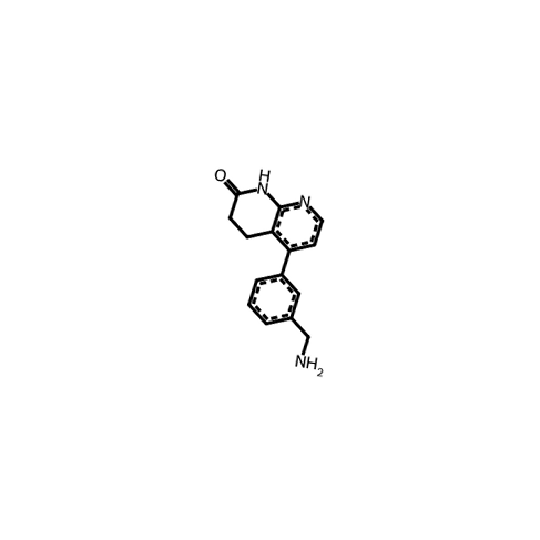 NCc1cccc(-c2ccnc3c2CCC(=O)N3)c1